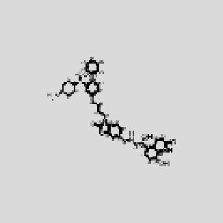 NC1CCC(N(C(=O)O)c2cc(CCCCn3c(=O)oc4cc(CNC[C@H](O)c5ccc(O)c6[nH]c(=O)ccc56)ccc43)ccc2-c2ccccc2)CC1